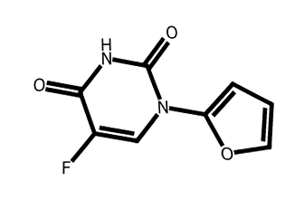 O=c1[nH]c(=O)n(-c2ccco2)cc1F